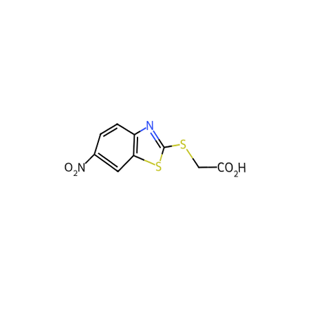 O=C(O)CSc1nc2ccc([N+](=O)[O-])cc2s1